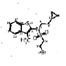 Cc1c(N(CCC2CC2)S(=O)(=O)CCBr)sc2ccccc12